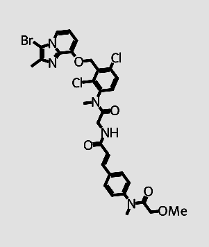 COCC(=O)N(C)c1ccc(C=CC(=O)NCC(=O)N(C)c2ccc(Cl)c(COc3cccn4c(Br)c(C)nc34)c2Cl)cc1